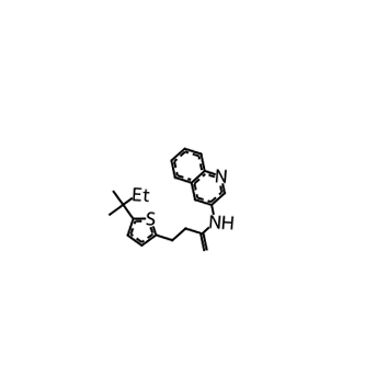 C=C(CCc1ccc(C(C)(C)CC)s1)Nc1cnc2ccccc2c1